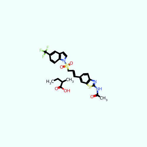 CC(=O)Nc1nc2ccc(C=CCS(=O)(=O)n3ccc4cc(C(F)(F)F)ccc43)cc2s1.CCC(C)C(=O)O